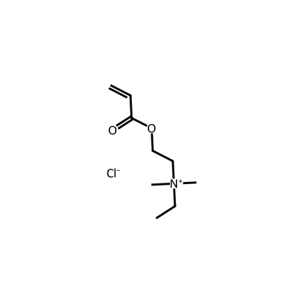 C=CC(=O)OCC[N+](C)(C)CC.[Cl-]